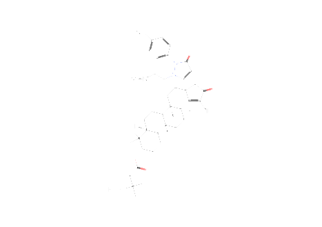 CNCCn1c([C@@]23CC[C@]4(C)[C@H](CC[C@@H]5[C@@]6(C)CC[C@H](OC(=O)CC(C)(C)C(=O)O)C(C)(C)[C@@H]6CC[C@]54C)C2=C(C(C)C)C(=O)C3)cc(=O)n1-c1ccc(C#N)cc1